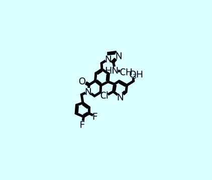 CNc1nccn1Cc1cc2c(c(-c3cc(CO)cnc3Cl)c1)CCN(Cc1ccc(F)c(F)c1)C2=O